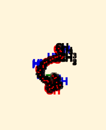 C=C1CN(C(C)C(=O)NC(C)=O)C/C1=C(/C=C\C)NC(=O)COCCOCCOCC1=CN(CCCC(=O)N2CCN(CC#Cc3ccc(OCCCc4sc(N5CCc6cccc(C(=O)Nc7nc8ccccc8s7)c6C5)nc4C(=O)O)c(F)c3)CC2)NN1